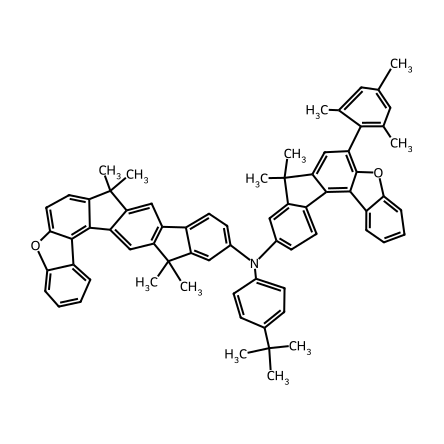 Cc1cc(C)c(-c2cc3c(c4c2oc2ccccc24)-c2ccc(N(c4ccc(C(C)(C)C)cc4)c4ccc5c(c4)C(C)(C)c4cc6c(cc4-5)C(C)(C)c4ccc5oc7ccccc7c5c4-6)cc2C3(C)C)c(C)c1